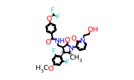 COc1cc(F)c([C@H]2C(CNC(=O)c3ccc(OC(F)F)cc3)C(=O)N(c3cccn(CCO)c3=O)[C@H]2C)c(F)c1